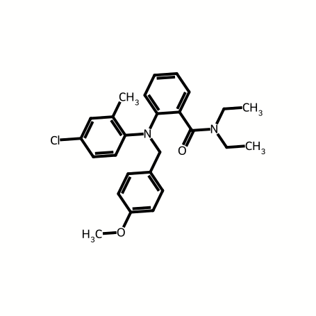 CCN(CC)C(=O)c1ccccc1N(Cc1ccc(OC)cc1)c1ccc(Cl)cc1C